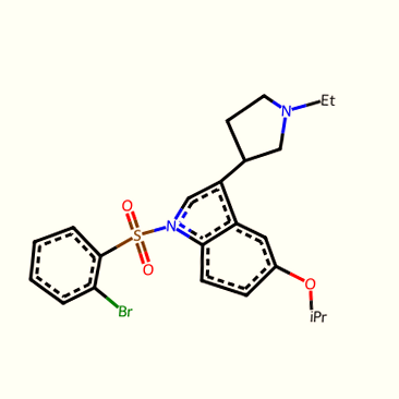 CCN1CCC(c2cn(S(=O)(=O)c3ccccc3Br)c3ccc(OC(C)C)cc23)C1